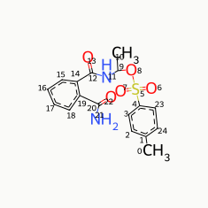 Cc1ccc(S(=O)(=O)OC(C)NC(=O)c2ccccc2C(N)=O)cc1